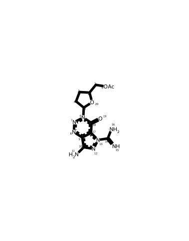 CC(=O)OCC1[CH][CH]C(n2nnc3c(N)nn(C(=N)N)c3c2=O)O1